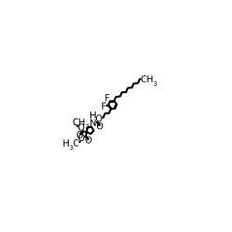 CCCCCCCCCCc1ccc(CCCOC(=O)NC2CCC(C(=O)OCC)(C(=O)OCC)C2)c(F)c1F